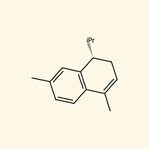 CC1=CC[C@@H](C(C)C)c2cc(C)ccc21